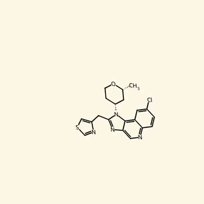 C[C@@H]1C[C@H](n2c(Cc3cscn3)nc3cnc4ccc(Cl)cc4c32)CCO1